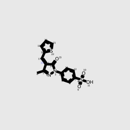 CC1=NN(c2ccc(S(=O)(=O)O)cc2)C(=O)/C1=C\c1cccs1